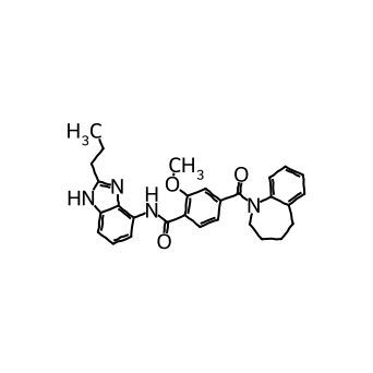 CCCc1nc2c(NC(=O)c3ccc(C(=O)N4CCCCc5ccccc54)cc3OC)cccc2[nH]1